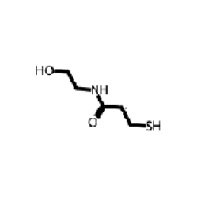 O=C([CH]CS)NCCO